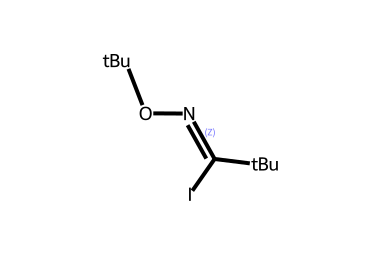 CC(C)(C)O/N=C(\I)C(C)(C)C